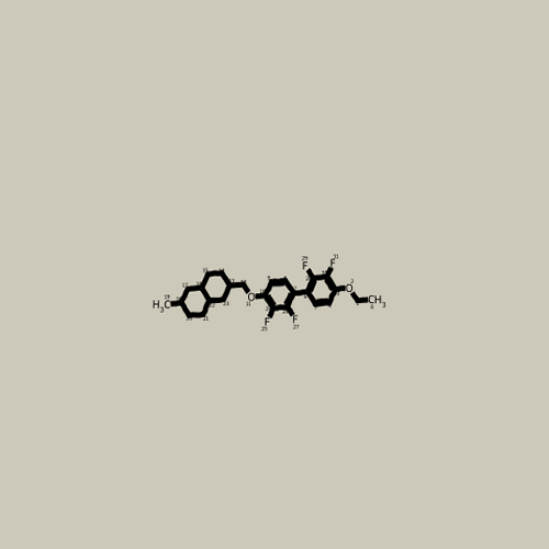 CCOc1ccc(-c2ccc(OCC3CCC4CC(C)CCC4C3)c(F)c2F)c(F)c1F